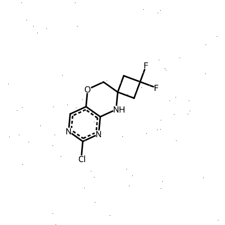 FC1(F)CC2(COc3cnc(Cl)nc3N2)C1